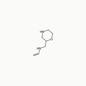 C=CNCC1CNCCO1